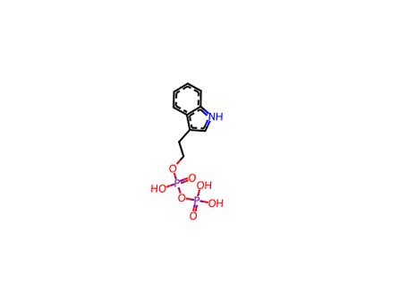 O=P(O)(O)OP(=O)(O)OCCc1c[nH]c2ccccc12